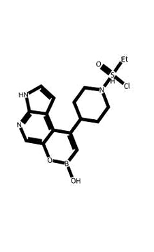 CC[SH](=O)(Cl)N1CCC(C2=CB(O)Oc3cnc4[nH]ccc4c32)CC1